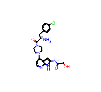 N[C@H](Cc1ccc(Cl)cc1)C(=O)N1CCN(c2ccnc3[nH]c(NC(=O)CO)cc23)CC1